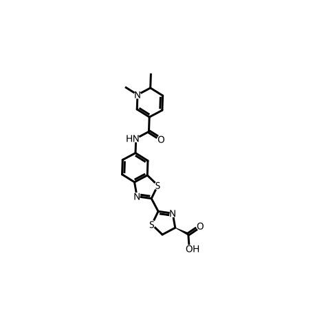 CC1C=CC(C(=O)Nc2ccc3nc(C4=N[C@@H](C(=O)O)CS4)sc3c2)=CN1C